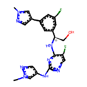 Cn1cc(Nc2ncc(F)c(N[C@H](CO)c3cc(F)cc(-c4cnn(C)c4)c3)n2)cn1